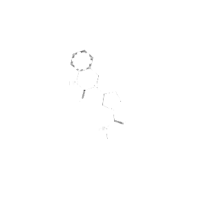 CNC(=O)N1CCC(N2Cc3ccccc3NC2=O)C1